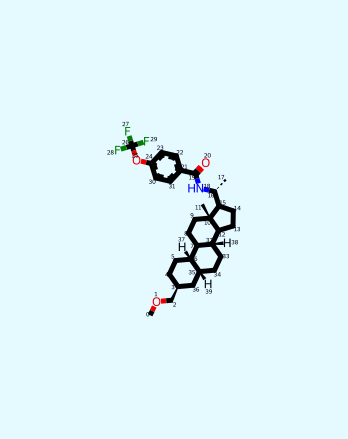 COC[C@H]1CC[C@@H]2C3CC[C@@]4(C)C(CCC4[C@@H](C)NC(=O)c4ccc(OC(F)(F)F)cc4)[C@@H]3CC[C@@H]2C1